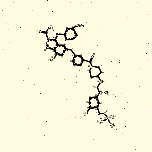 COc1cccc(Nc2c(C(N)=O)cnc3c(C)cc(Cc4cccc(C(=O)N5CCC(NC[C@H](O)c6ccc(O)c(CO[Si](C)(C)C(C)(C)C)c6)CC5)c4)cc23)c1